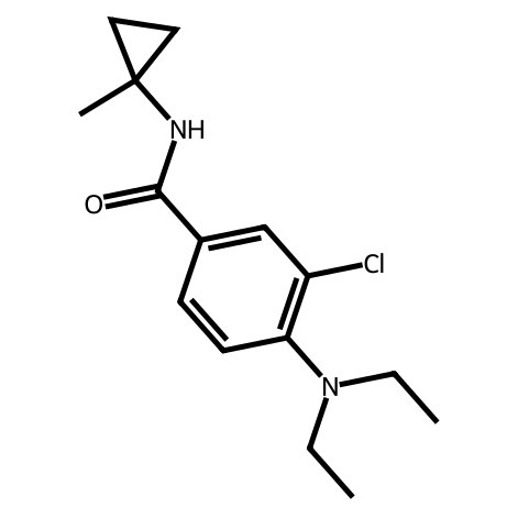 CCN(CC)c1ccc(C(=O)NC2(C)CC2)cc1Cl